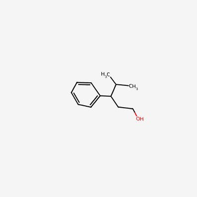 CC(C)C(CCO)c1ccccc1